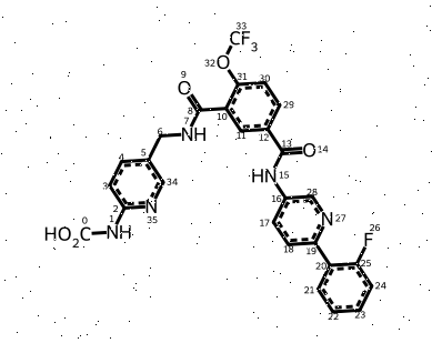 O=C(O)Nc1ccc(CNC(=O)c2cc(C(=O)Nc3ccc(-c4ccccc4F)nc3)ccc2OC(F)(F)F)cn1